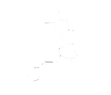 Cc1cc(O)c(-c2cc(OCC3CCCO3)ccc2F)cc1Cl